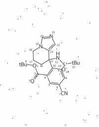 CC(C)(C)OC(=O)c1cc(C#N)ccc1C1(N[S+]([O-])C(C)(C)C)CCCn2cncc21